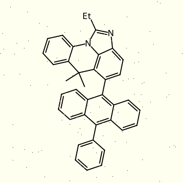 CCc1nc2ccc(-c3c4ccccc4c(-c4ccccc4)c4ccccc34)c3c2n1-c1ccccc1C3(C)C